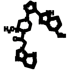 C[C@@H]1CN(c2scnc2-c2nc3cc(C(C)(C)C)ccc3[nH]2)CCN1C(=O)Cn1cnc2cccnc21